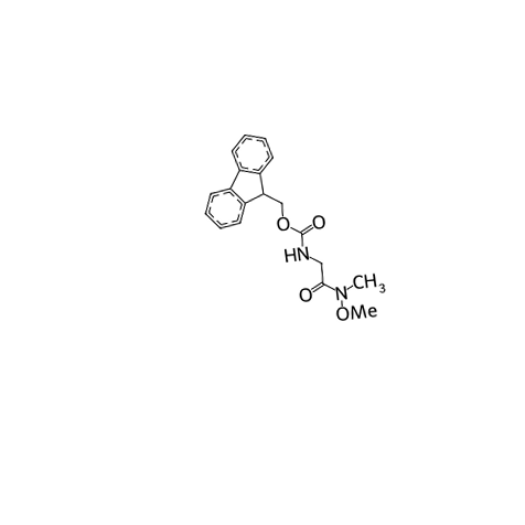 CON(C)C(=O)CNC(=O)OCC1c2ccccc2-c2ccccc21